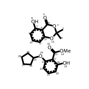 CC1(C)OC(=O)c2c(O)cccc2O1.COC(=O)c1c(O)cccc1OC1CCCC1